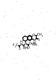 CCCC(NC(=S)C(F)(F)F)N(C(=O)OC(C)(C)C)C1CCCc2cc3c(cc21)NC(=S)C(C)O3